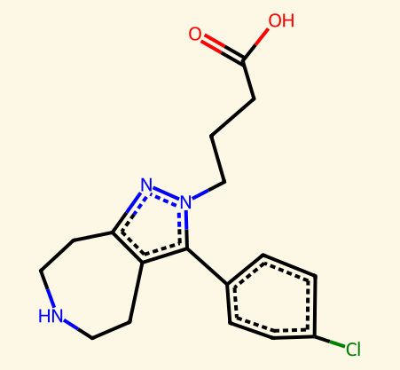 O=C(O)CCCn1nc2c(c1-c1ccc(Cl)cc1)CCNCC2